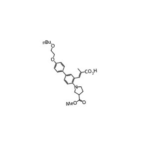 CCCCOCCOc1ccc(-c2ccc(N3CCC(C(=O)OC)C3)c(C=C(C)C(=O)O)c2)cc1